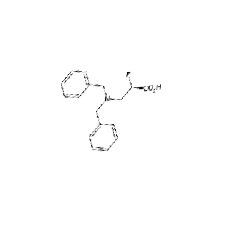 O=C(O)[C@H](F)CN(Cc1ccccc1)Cc1ccccc1